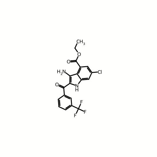 CCOC(=O)c1cc(Cl)cc2[nH]c(C(=O)c3cccc(C(F)(F)F)c3)c(N)c12